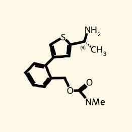 CNC(=O)OCc1ccccc1-c1csc([C@@H](C)N)c1